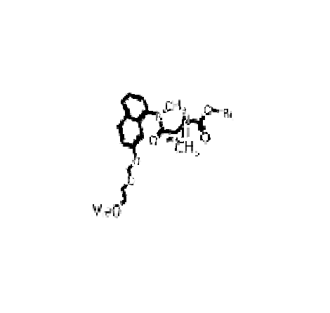 COCCOCOc1ccc2cccc(N(C)C(=O)[C@@H](C)NC(=O)OC(C)(C)C)c2c1